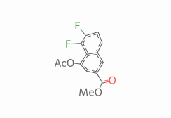 COC(=O)c1cc(OC(C)=O)c2c(F)c(F)ccc2c1